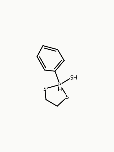 S[PH]1(c2ccccc2)SCCS1